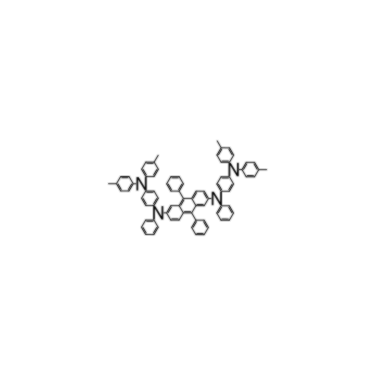 Cc1ccc(N(c2ccc(C)cc2)c2ccc(N(c3ccccc3)c3ccc4c(-c5ccccc5)c5cc(N(c6ccccc6)c6ccc(N(c7ccc(C)cc7)c7ccc(C)cc7)cc6)ccc5c(-c5ccccc5)c4c3)cc2)cc1